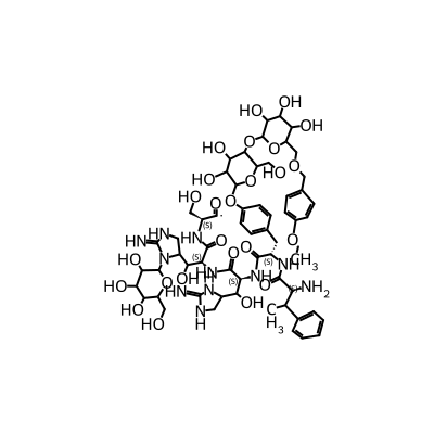 CCOc1ccc(COCC2OC(OC3C(CO)OC(Oc4ccc(C[C@H](NC(=O)[C@@H](N)C(C)c5ccccc5)C(=O)N[C@H](C(=O)N[C@H](C(=O)N[C@H]([C]=O)CO)C(O)C5CNC(=N)N5C5OC(CO)C(O)C(O)C5O)C(O)C5CNC(=N)N5)cc4)C(O)C3O)C(O)C(O)C2O)cc1